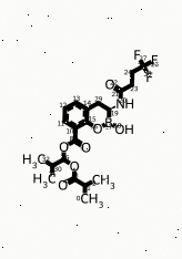 CC(C)C(=O)OC(OC(=O)c1cccc2c1OB(O)[C@@H](NC(=O)CCC(F)(F)F)C2)C(C)C